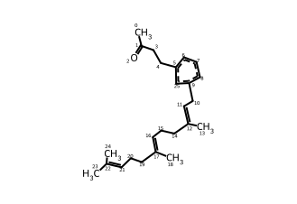 CC(=O)CCc1cccc(C/C=C(\C)CC/C=C(\C)CCC=C(C)C)c1